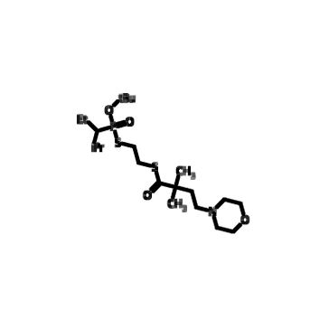 CCC(C(C)C)P(=O)(OC(C)(C)C)SCCSC(=O)C(C)(C)CCN1CCOCC1